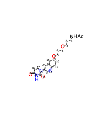 CC(=O)NCCCOCCCOc1ccc2ncc(-n3ccc(=O)[nH]c3=O)cc2c1